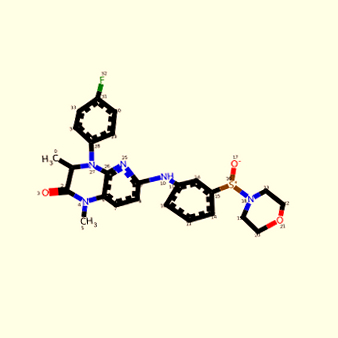 CC1C(=O)N(C)c2ccc(Nc3cccc([S+]([O-])N4CCOCC4)c3)nc2N1c1ccc(F)cc1